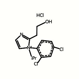 CC(C)[N+]1(c2ccc(Cl)cc2Cl)C=CN=C1CCO.Cl